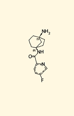 N[C@@]12CCC[C@@](NC(=O)c3ccc(F)cn3)(CC1)C2